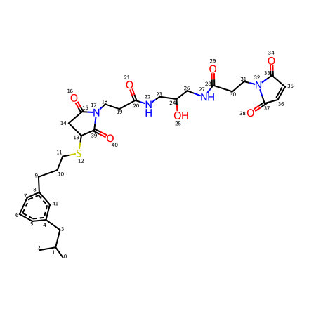 CC(C)Cc1cccc(CCCSC2CC(=O)N(CCC(=O)NCC(O)CNC(=O)CCN3C(=O)C=CC3=O)C2=O)c1